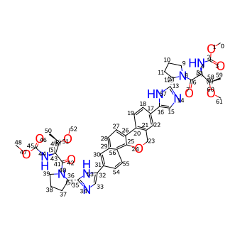 COC(=O)N[C@H](C(=O)N1CCC[C@H]1c1ncc(-c2ccc3c(c2)COc2c-3ccc3cc(-c4cnc([C@@H]5CCCN5C(=O)[C@@H](NC(=O)OC)[C@@H](C)OC)[nH]4)ccc23)[nH]1)[C@@H](C)OC